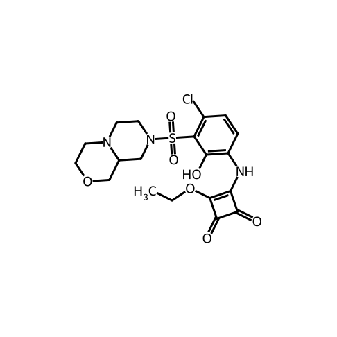 CCOc1c(Nc2ccc(Cl)c(S(=O)(=O)N3CCN4CCOCC4C3)c2O)c(=O)c1=O